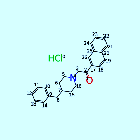 Cl.O=C(CN1CCC(Cc2ccccc2)CC1)c1ccc2ccccc2c1